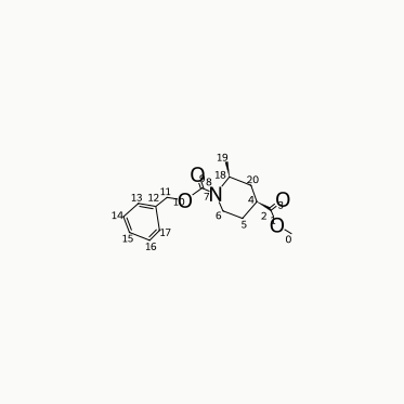 COC(=O)[C@H]1CCN(C(=O)OCc2ccccc2)[C@@H](C)C1